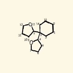 C1CCC(C2CCCO2)(C2CCCO2)CC1